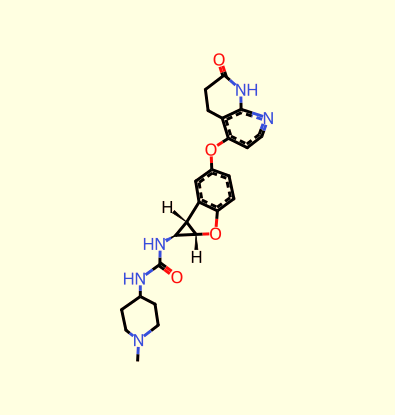 CN1CCC(NC(=O)N[C@@H]2[C@H]3Oc4ccc(Oc5ccnc6c5CCC(=O)N6)cc4[C@@H]23)CC1